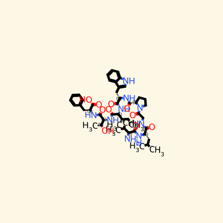 CC[C@H](C)[C@H](NC(=O)[C@H](Cc1c[nH]c2ccccc12)NC(=O)[C@@H]1CCCN1C(=O)CNC(=O)[C@H](CC(C)C)NC(=O)[C@@H](N)C(C)C)C(=O)N[C@H](C(=O)N[C@@H](Cc1ccccc1)C(=O)O)[C@@H](C)O